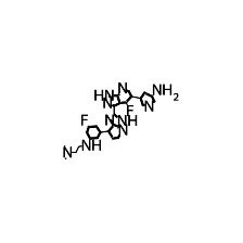 CN(C)CCNc1cc(F)cc(-c2ccnc3[nH]c(-c4n[nH]c5ncc(-c6cncc(N)c6)c(F)c45)nc23)c1